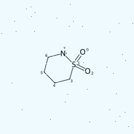 O=S1(=O)CCCC[N]1